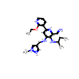 CCOc1ncccc1-c1cc(NCc2cnn(C)c2)c(NC(C)CC)c(C=N)n1